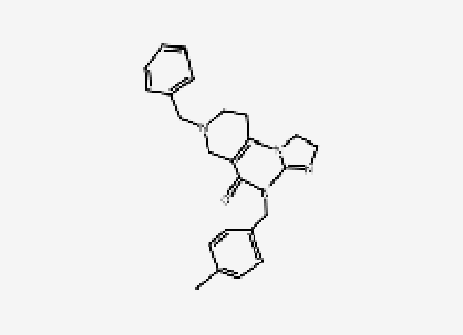 Cc1ccc(CN2C(=O)C3=C(CCN(Cc4ccccc4)C3)N3CCN=C23)cc1